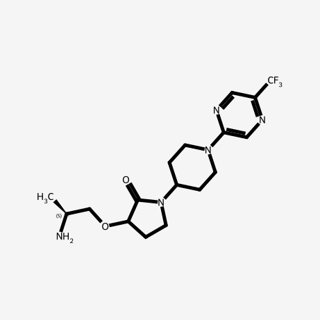 C[C@H](N)COC1CCN(C2CCN(c3cnc(C(F)(F)F)cn3)CC2)C1=O